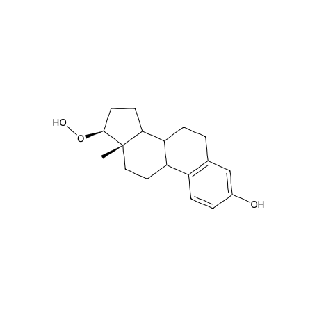 C[C@]12CCC3c4ccc(O)cc4CCC3C1CC[C@@H]2OO